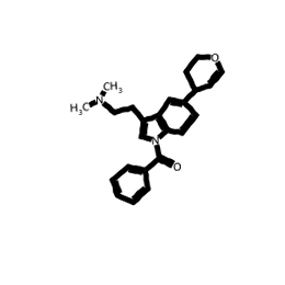 CN(C)CCc1cn(C(=O)c2ccccc2)c2ccc(C3C=COCC3)cc12